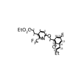 CCOC(=O)CCc1ccc(OCc2cc(F)cc3cc(CC)oc23)nc1C(F)(F)F